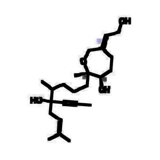 CC#CC(O)(CC=C(C)C)C(C)CCC[C@]1(C)OC/C(=C/CO)CC[C@H]1O